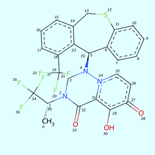 C[C@@H](N1CN([C@@H]2c3ccccc3SCc3cccc(C(F)(F)F)c32)n2ccc(=O)c(O)c2C1=O)C(F)(F)F